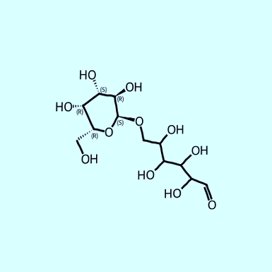 O=CC(O)C(O)C(O)C(O)CO[C@H]1O[C@H](CO)[C@H](O)[C@H](O)[C@H]1O